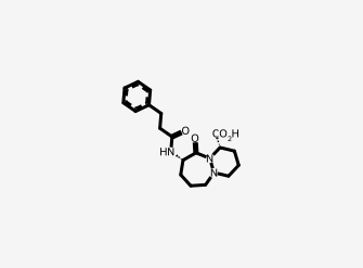 O=C(CCc1ccccc1)N[C@H]1CCCN2CCC[C@@H](C(=O)O)N2C1=O